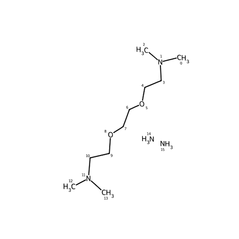 CN(C)CCOCCOCCN(C)C.N.N